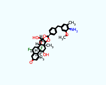 COc1cc(Cc2ccc([C@@H]3O[C@@H]4C[C@H]5[C@@H]6C[C@H](F)C7=CC(=O)C=C[C@]7(C)[C@@]6(F)[C@@H](O)C[C@]5(C)[C@]4(C(=O)CO)O3)cc2)cc(C)c1N